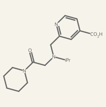 CC(C)N(CC(=O)N1CCCCC1)Cc1cc(C(=O)O)ccn1